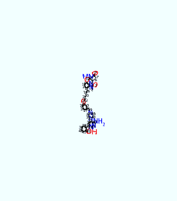 Cn1c(=O)n(C2CCC(=O)NC2=O)c2cccc(CCCCCOc3cccc(CN4CCN(c5cc(-c6ccccc6O)nnc5N)CC4)c3)c21